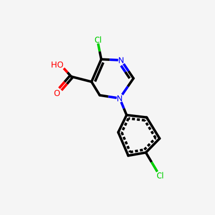 O=C(O)C1=C(Cl)N=CN(c2ccc(Cl)cc2)C1